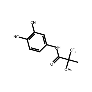 CC(=O)OC(C)(C(=O)Nc1ccc(C#N)c(C#N)c1)C(F)(F)F